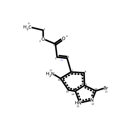 CCOC(=O)/C=C/c1cc2c(Br)n[nH]c2cc1N